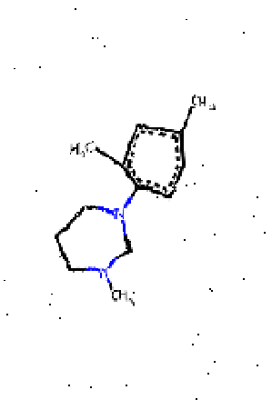 Cc1ccc(N2CCCN(C)C2)c(C)c1